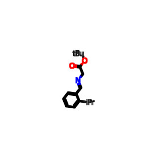 CC(C)c1ccccc1/C=N/CC(=O)OC(C)(C)C